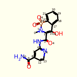 CN1C(C(=O)Nc2cc(C(N)=O)ccn2)=C(O)c2ccccc2S1(=O)=O